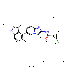 Cc1ccc2[nH]cc(C)c2c1-c1ccc2nc(NC(=O)C3CC3F)cn2c1